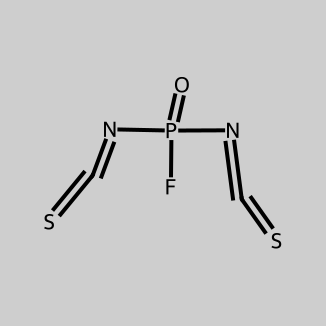 O=P(F)(N=C=S)N=C=S